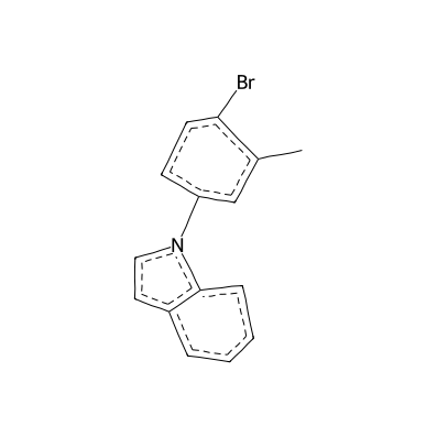 Cc1cc(-n2ccc3ccccc32)ccc1Br